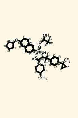 NC1CCN(C(=O)[C@@H](NS(=O)(=O)c2ccc3cc(OC4CCCC4)ccc3c2)C(F)(F)c2ccc(C3(C(F)(F)F)CC3)cc2)CC1.O=C(O)C(F)(F)F